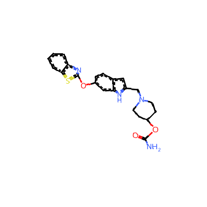 NC(=O)OC1CCN(Cc2cc3ccc(Oc4nc5ccccc5s4)cc3[nH]2)CC1